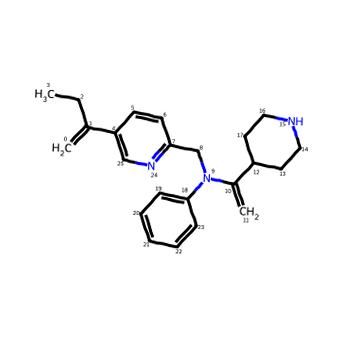 C=C(CC)c1ccc(CN(C(=C)C2CCNCC2)c2ccccc2)nc1